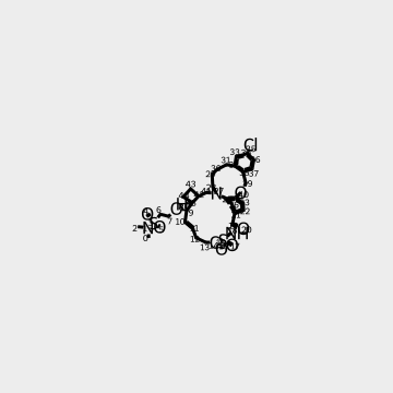 CN(C)S(=O)(=O)CCO[C@@H]1/C=C/CCCS(=O)(=O)NC(=O)c2ccc3c(c2)N(CCCCc2cc(Cl)ccc2CO3)CC2CC[C@H]21